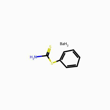 NC(=S)Sc1ccccc1.[BaH2]